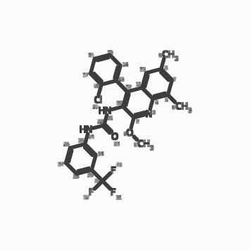 COc1nc2c(C)cc(C)cc2c(-c2ccccc2Cl)c1NC(=O)Nc1cccc(C(F)(F)F)c1